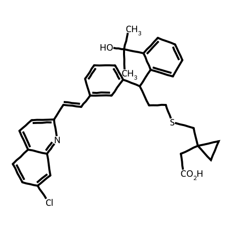 CC(C)(O)c1ccccc1C(CCSCC1(CC(=O)O)CC1)c1cccc(C=Cc2ccc3ccc(Cl)cc3n2)c1